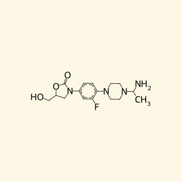 CC(N)N1CCN(c2ccc(N3CC(CO)OC3=O)cc2F)CC1